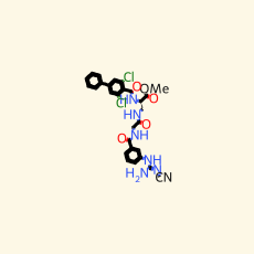 COC(=O)[C@H](CNC(=O)CNC(=O)c1cccc(N/C(N)=N/C#N)c1)NC(=O)c1c(Cl)cc(-c2ccccc2)cc1Cl